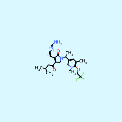 CC1=C(OCC(F)(F)F)N(C)CC(C(C)N2CC(C(=O)CC(C)C)=C(/C=C\N=C\N)C2=O)=C1